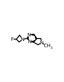 CN1Cc2cnc(N3CC(F)C3)nc2C1